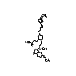 COc1ccc2nccc([C@@H](O)CCC3CCN(CCCSc4ccn(C)c4)CC3CCC(=O)O)c2c1